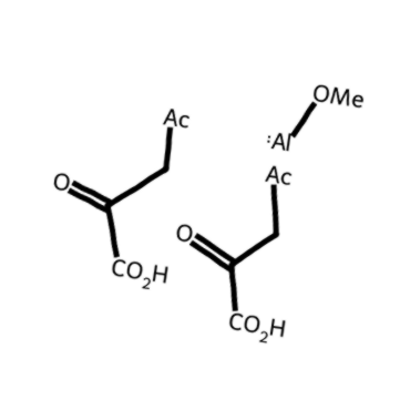 CC(=O)CC(=O)C(=O)O.CC(=O)CC(=O)C(=O)O.C[O][Al]